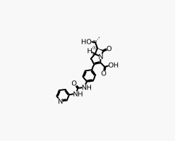 C[C@@H](O)[C@H]1C(=O)N2C(C(=O)O)=C(c3ccc(NC(=O)Nc4cccnc4)cc3)C[C@H]12